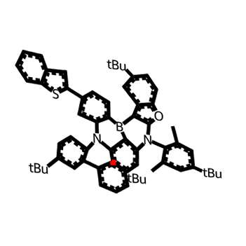 Cc1cc(C(C)(C)C)cc(C)c1N1c2cc(C(C)(C)C)cc3c2B(c2ccc(-c4cc5ccccc5s4)cc2N3c2ccc(C(C)(C)C)cc2-c2ccccc2)c2c1oc1ccc(C(C)(C)C)cc21